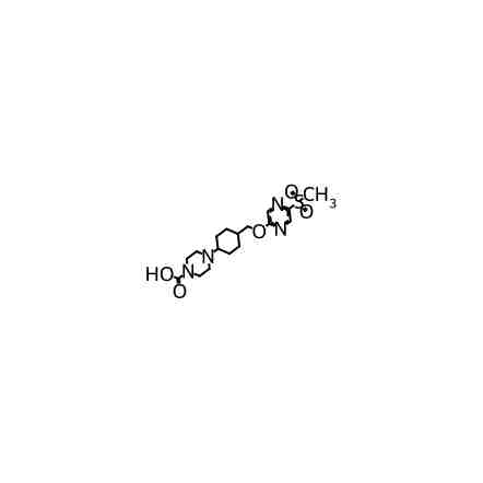 CS(=O)(=O)c1cnc(OCC2CCC(N3CCN(C(=O)O)CC3)CC2)cn1